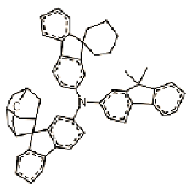 CC1(C)c2ccccc2-c2ccc(N(c3ccc4c(c3)C3(CCCCC3)c3ccccc3-4)c3ccc4c(c3)C3(c5ccccc5-4)C4CCC5CC(C4)CC3C5)cc21